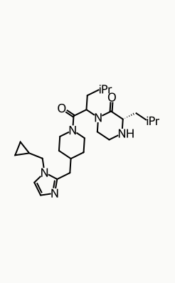 CC(C)CC(C(=O)N1CCC(Cc2nccn2CC2CC2)CC1)N1CCN[C@@H](CC(C)C)C1=O